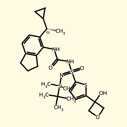 C[C@H](c1ccc2c(c1NC(=O)NS(=O)(=N[Si](C)(C)C(C)(C)C)c1ccc(C3(O)COC3)s1)CCC2)C1CC1